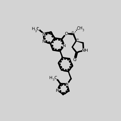 Cc1nccn1Cc1ccc(-c2cc3nn(C)cc3c(O[C@H](C)[C@H]3CNC(=O)C3)n2)cc1